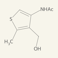 CC(=O)Nc1csc(C)c1CO